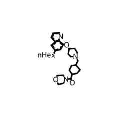 CCCCCCc1cc(OC2CCN(CC3CCC(C(=O)N4CCOCC4)CC3)CC2)c2ncccc2c1